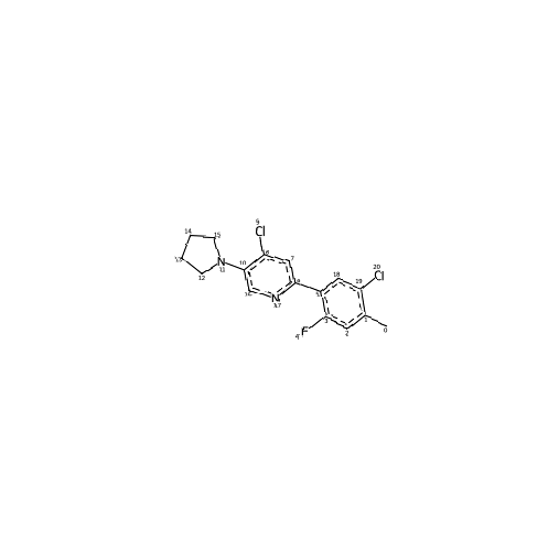 Cc1cc(F)c(-c2cc(Cl)c(N3CCCC3)cn2)cc1Cl